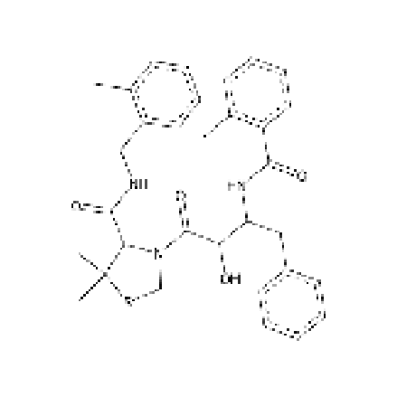 Cc1ccccc1CNC(=O)C1N(C(=O)C(O)C(Cc2ccccc2)NC(=O)c2ccccc2C)CSC1(C)C